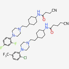 N#CCCC(=O)NC1CCC(CCN2CCN(c3ccc(F)cc3F)CC2)CC1.N#CCCCC(=O)NC1CCC(CCN2CCN(c3cc(C(F)(F)F)ccc3Cl)CC2)CC1